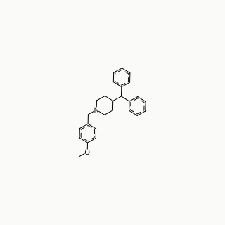 COc1ccc(CN2CCC(C(c3ccccc3)c3ccccc3)CC2)cc1